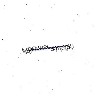 CC(C)=CCC/C(C)=C/CC/C(C)=C/C=C/C(C)=C/C=C/C=C(C)/C=C/C=C(C)/C=C/C=C(C)/C=C/C(=O)C(C)(C)C